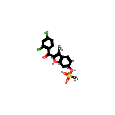 O=C(c1ccc(Cl)cc1Cl)c1oc2cc(OS(=O)(=O)C(F)(F)F)ccc2c1C(F)(F)F